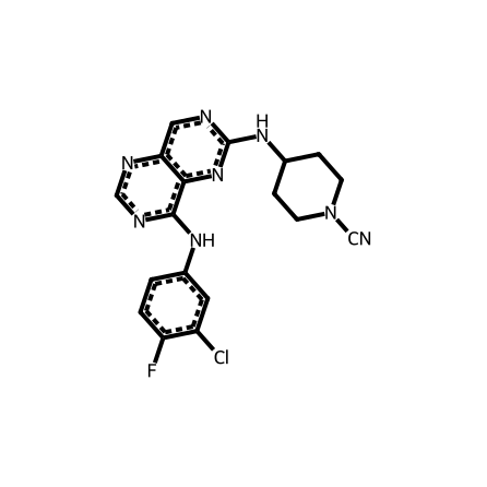 N#CN1CCC(Nc2ncc3ncnc(Nc4ccc(F)c(Cl)c4)c3n2)CC1